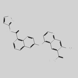 COc1cc2nccc(Oc3ccc4c(C(=O)Nc5ccon5)cccc4c3)c2cc1C(N)=O